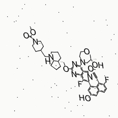 C#Cc1c(F)ccc2cc(O)cc(-c3nc(OC)c4c(N5CCOC[C@@](C)(O)C5)nc(OC[C@]56CCC[C@H]5N(CC5CCN(C(=O)OC)CC5)CCC6)nc4c3F)c12